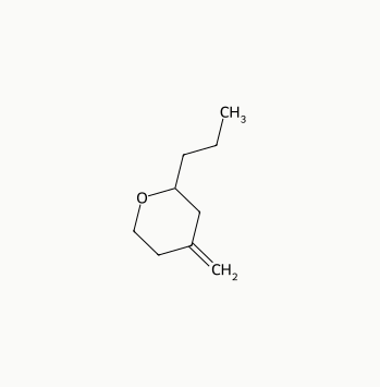 C=C1CCOC(CCC)C1